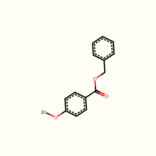 CCOc1ccc(C(=O)OCc2ccccc2)cc1